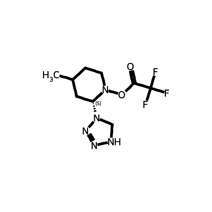 CC1CCN(OC(=O)C(F)(F)F)[C@H](N2CNN=N2)C1